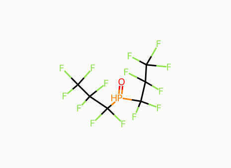 O=[PH](C(F)(F)C(F)(F)C(F)(F)F)C(F)(F)C(F)(F)C(F)(F)F